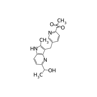 Cc1[nH]c2ccc(C(C)O)nc2c1Cc1ccc(S(C)(=O)=O)nc1